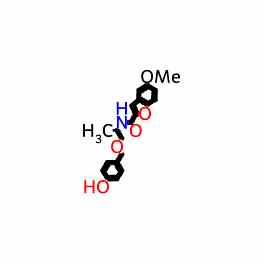 COc1ccc2oc(C(=O)N[C@H](C)COCc3ccc(O)cc3)cc2c1